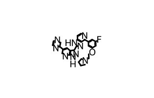 Fc1cc(OCCN2CCCC2)cc(-c2nccc3[nH]c(-c4n[nH]c5ncc(-c6cnccn6)cc45)nc23)c1